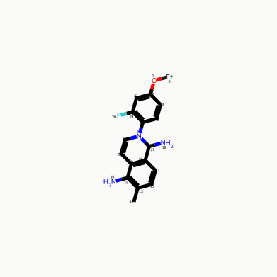 CCOc1ccc(N2C=Cc3c(ccc(C)c3N)C2N)c(F)c1